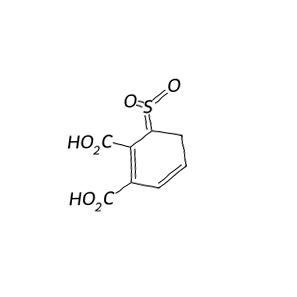 O=C(O)C1=C(C(=O)O)C(=S(=O)=O)CC=C1